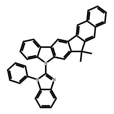 CC1(C)c2cc3ccccc3cc2-c2cc3c4ccccc4n(-c4nc5ccccc5n4-c4ccccc4)c3cc21